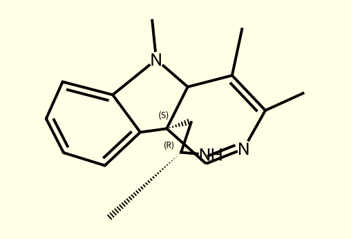 CC1=C(C)C2N(C)c3ccccc3[C@@]23C[C@@H](C)NC3=N1